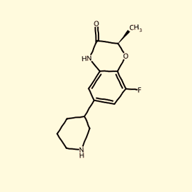 C[C@H]1Oc2c(F)cc(C3CCCNC3)cc2NC1=O